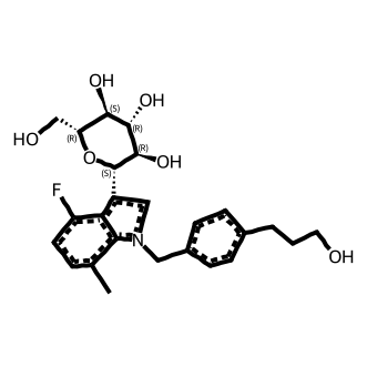 Cc1ccc(F)c2c([C@@H]3O[C@H](CO)[C@@H](O)[C@H](O)[C@H]3O)cn(Cc3ccc(CCCO)cc3)c12